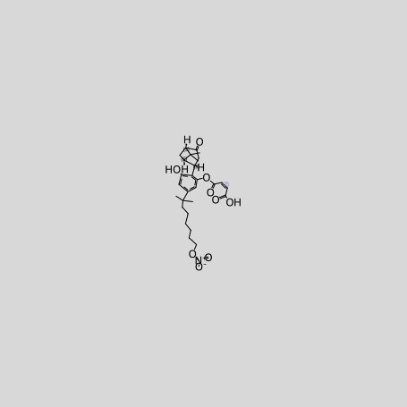 CC(C)(CCCCCCO[N+](=O)[O-])c1cc(O)c([C@H]2CC(=O)[C@H]3C[C@@H]2C3(C)C)c(OC(=O)/C=C\C(=O)O)c1